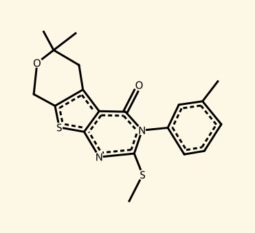 CSc1nc2sc3c(c2c(=O)n1-c1cccc(C)c1)CC(C)(C)OC3